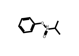 CC(C)[PH](=O)Oc1ccccc1